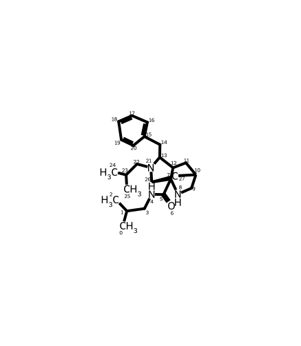 CC(C)CNC(=O)C12NCC3CC1C(Cc1ccccc1)N(CC(C)C)C2C3